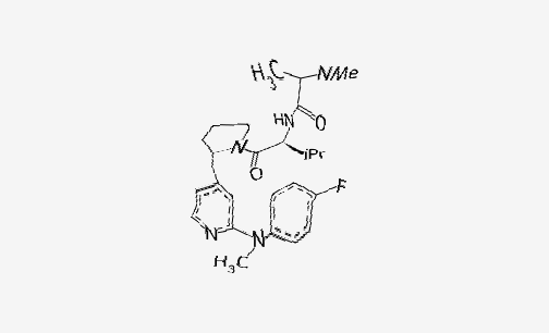 CNC(C)C(=O)N[C@H](C(=O)N1CCCC1c1ccnc(N(C)c2ccc(F)cc2)c1)C(C)C